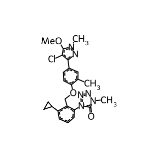 COc1c(Cl)c(-c2ccc(OCc3c(C4CC4)cccc3-n3nnn(C)c3=O)c(C)c2)nn1C